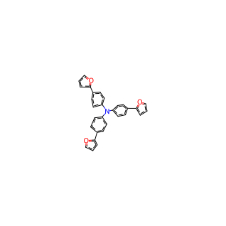 c1coc(-c2ccc(N(c3ccc(-c4ccco4)cc3)c3ccc(-c4ccco4)cc3)cc2)c1